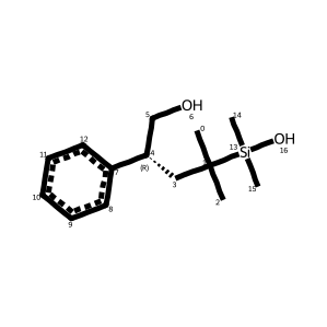 CC(C)(C[C@@H](CO)c1ccccc1)[Si](C)(C)O